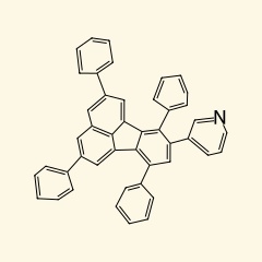 c1ccc(-c2cc3c4c(cc(-c5ccccc5)cc4c2)-c2c(-c4ccccc4)c(-c4cccnc4)cc(-c4ccccc4)c2-3)cc1